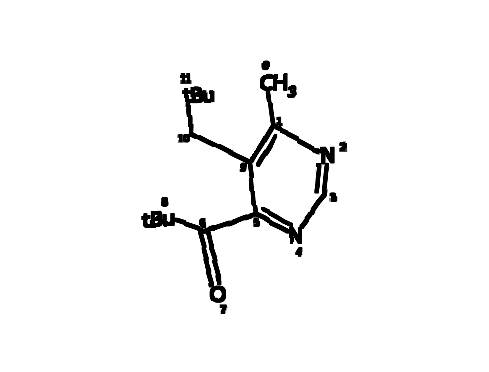 Cc1ncnc(C(=O)C(C)(C)C)c1CC(C)(C)C